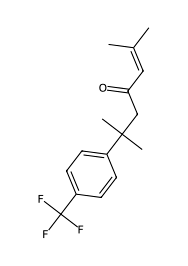 CC(C)=CC(=O)CC(C)(C)c1ccc(C(F)(F)F)cc1